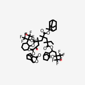 CCC(C)(CC(C)(CC(C)(CC(C)(C)C(=O)OC1C2CC3C(=O)OC1C3C2)C(=O)OC1CCCCC1C(O)(C(F)(F)F)C(F)(F)F)C(=O)OC1(C)C2CC3CC(C2)CC1C3)C(=O)OC(CC(O)(C(F)(F)F)C(F)(F)F)C1CC2CCC1C2